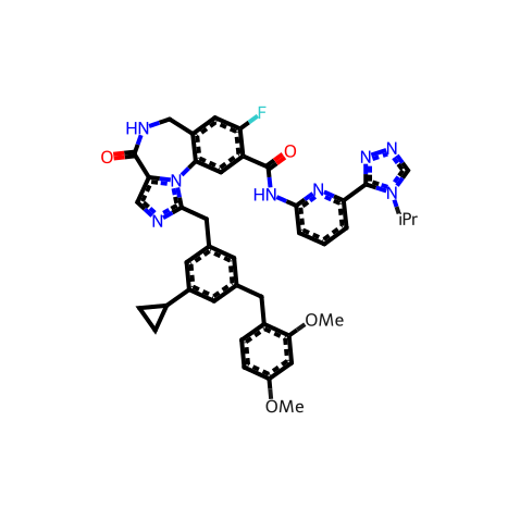 COc1ccc(Cc2cc(Cc3ncc4n3-c3cc(C(=O)Nc5cccc(-c6nncn6C(C)C)n5)c(F)cc3CNC4=O)cc(C3CC3)c2)c(OC)c1